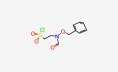 O=CN(CCS(=O)(=O)Cl)OCc1ccccc1